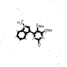 COc1nc(Cl)nc(-c2cn(C)c3ccccc23)c1OC